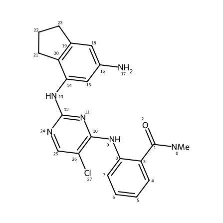 CNC(=O)c1ccccc1Nc1nc(Nc2cc(N)cc3c2CCC3)ncc1Cl